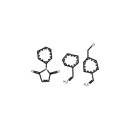 C=Cc1ccc(CCl)cc1.C=Cc1ccccc1.O=C1C=CC(=O)N1c1ccccc1